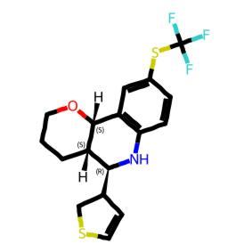 FC(F)(F)Sc1ccc2c(c1)[C@H]1OCCC[C@H]1[C@H](C1C=CSC1)N2